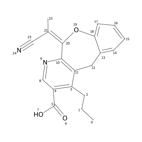 CCCc1c(C(=O)O)cnc2c1Cc1ccccc1OC2=C(C)C#N